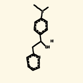 CN(C)c1ccc(C(O)Cc2ccccn2)cc1.I